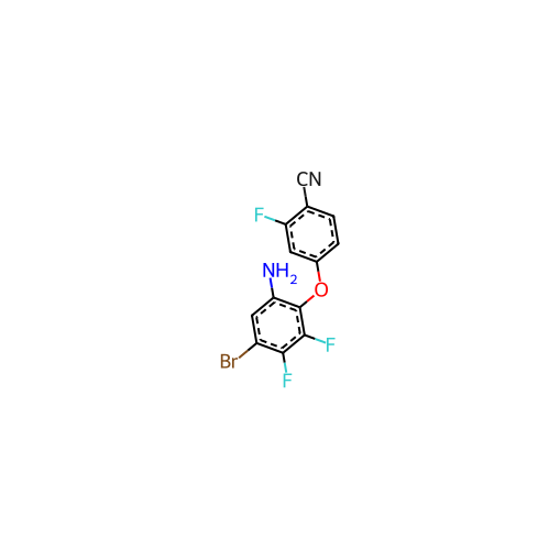 N#Cc1ccc(Oc2c(N)cc(Br)c(F)c2F)cc1F